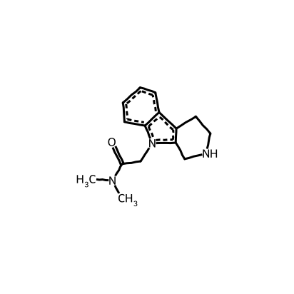 CN(C)C(=O)Cn1c2c(c3ccccc31)CCNC2